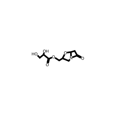 O=C(OCC1CN2C(=O)CC2O1)C(O)[CH]O